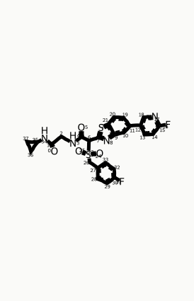 O=C(CNC(=O)C(c1nc2cc(-c3ccc(F)nc3)ccc2s1)S(=O)(=O)Cc1ccc(F)cc1)NC1CC1